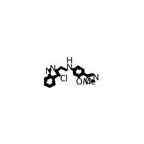 COc1cc(NCCc2nnc3ccccc3c2Cl)ccc1-c1cnco1